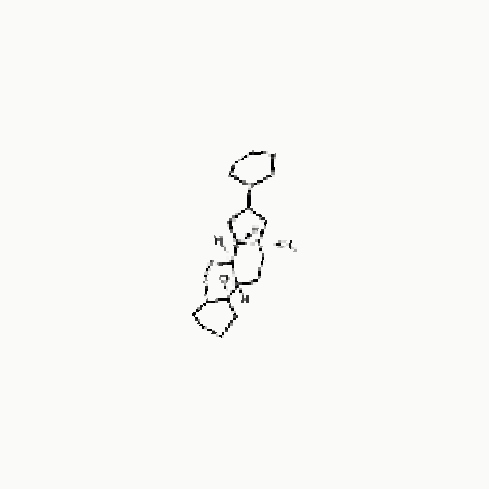 C[C@]12CC[C@H]3[C@@H](CCC4CCCC[C@@]43C)[C@@H]1CC(N1CCCCC1)C2